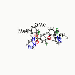 COc1ccc(CN(c2ccncn2)S(=O)(=O)c2cc(F)c(O[C@H]3CCCC(F)(F)[C@@H]3c3ccnn3C)cc2F)c(OC)c1